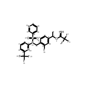 CC(OC(=N)C(F)(F)F)c1ccc(CN(c2cccc(C(F)(F)F)n2)S(=O)(=O)c2cccnc2)c(F)c1